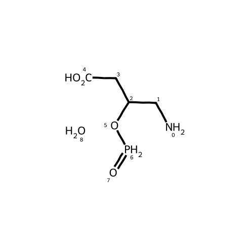 NCC(CC(=O)O)O[PH2]=O.O